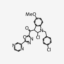 COc1ccc2c(c1)C(C(=O)c1nnc(-c3cnccn3)o1)C(Cl)N2Cc1ccc(Cl)cc1